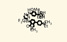 CCN(C)C1CCC(c2ccc(Nc3nc(Nc4ccc(C(CC)(CC)P(=O)(O)O)cc4OC)ncc3C(F)(F)F)c3c2CN(C)C3=O)CC1